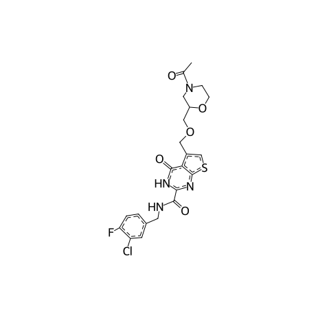 CC(=O)N1CCOC(COCc2csc3nc(C(=O)NCc4ccc(F)c(Cl)c4)[nH]c(=O)c23)C1